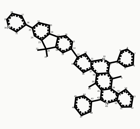 Cc1c2c(-c3ccccc3)nc3cc(-c4ccc5c(c4)C(C)(C)c4cc(-c6cccnc6)ccc4-5)ccc3c2c(C)c2c(-c3ccccc3)nc3ccccc3c12